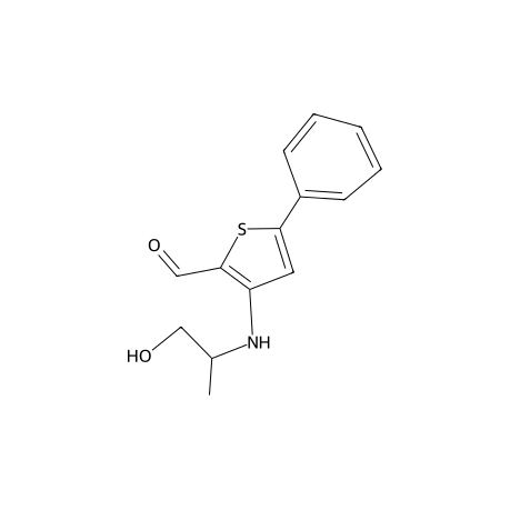 CC(CO)Nc1cc(-c2ccccc2)sc1C=O